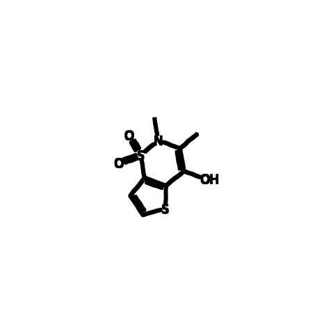 CC1=C(O)c2sccc2S(=O)(=O)N1C